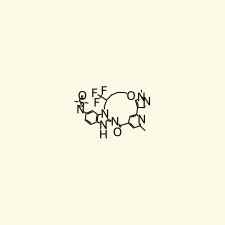 Cc1cc2cc(n1)-c1cnn(C)c1OCCCC(C(F)(F)F)CN1/C(=N/C2=O)Nc2ccc(N=S(C)(C)=O)cc21